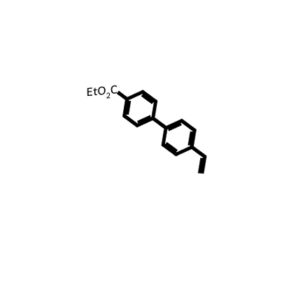 C=Cc1ccc(-c2ccc(C(=O)OCC)cc2)cc1